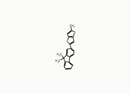 Cc1cc2sc(-c3ccc4c(c3)C(C)(C)c3ccccc3-4)cc2s1